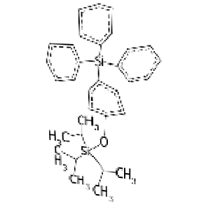 CC(C)[Si](Oc1ccc([Si](c2ccccc2)(c2ccccc2)c2ccccc2)cc1)(C(C)C)C(C)C